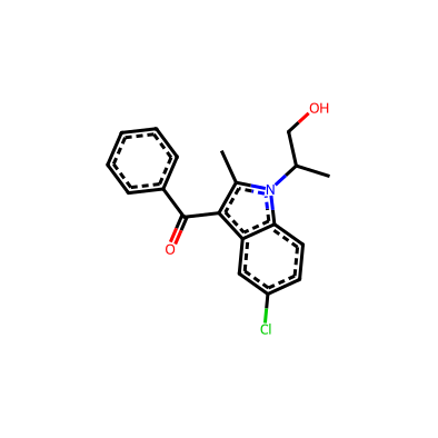 Cc1c(C(=O)c2ccccc2)c2cc(Cl)ccc2n1C(C)CO